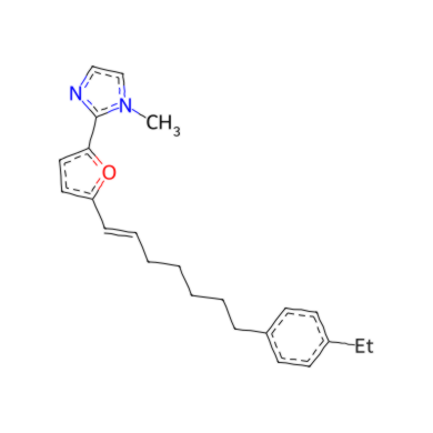 CCc1ccc(CCCCCC=Cc2ccc(-c3nccn3C)o2)cc1